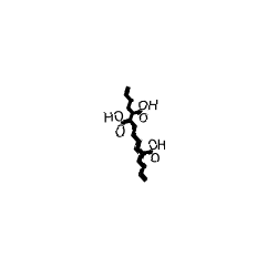 CCCCC(CCCCC(C(=O)O)C(CCCC)C(=O)O)C(=O)O